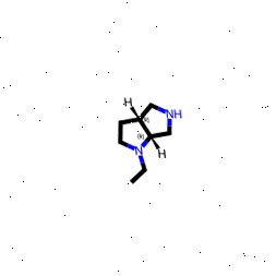 CCN1CC[C@@H]2CNC[C@@H]21